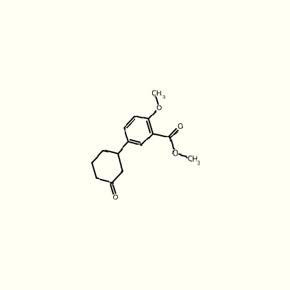 COC(=O)c1cc(C2CCCC(=O)C2)ccc1OC